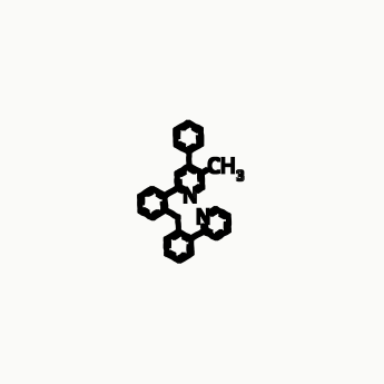 Cc1cnc(-c2ccccc2Cc2ccccc2-c2ccccn2)cc1-c1ccccc1